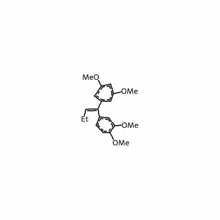 CCC=C(c1cc(OC)cc(OC)c1)c1ccc(OC)c(OC)c1